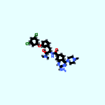 CN1CCN(c2nc(N)nc3cc(C(=O)NC(Cc4cccc(Oc5cc(Cl)cc(Cl)c5)c4)C(=O)N(C)C)ccc23)CC1